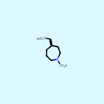 CCOC(=O)/C=C1\CCCN(C(=O)O)CC1